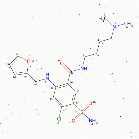 CN(C)CCCCNC(=O)c1cc(S(N)(=O)=O)c(Cl)cc1NCc1ccco1